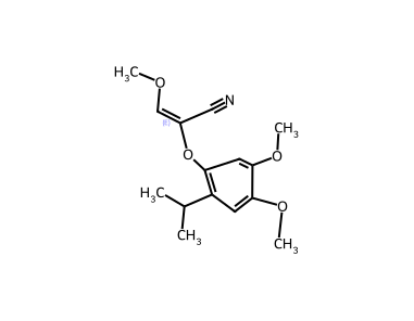 CO/C=C(\C#N)Oc1cc(OC)c(OC)cc1C(C)C